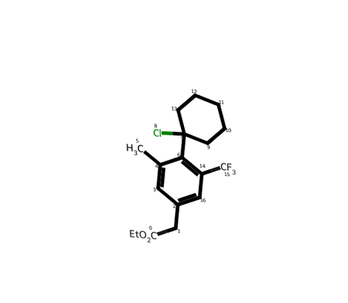 CCOC(=O)Cc1cc(C)c(C2(Cl)CCCCC2)c(C(F)(F)F)c1